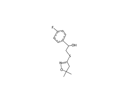 CC1(C)CC(SCC(O)c2ccc(F)cc2)=NO1